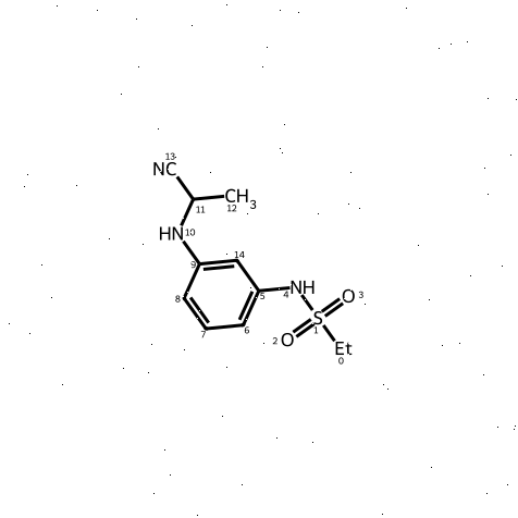 CCS(=O)(=O)Nc1cccc(NC(C)C#N)c1